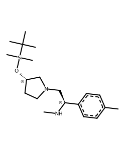 CN[C@@H](CN1CC[C@H](O[Si](C)(C)C(C)(C)C)C1)c1ccc(C)cc1